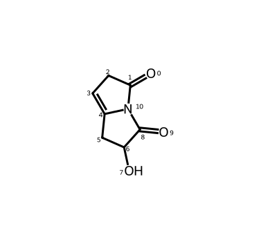 O=C1CC=C2CC(O)C(=O)N12